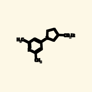 CCOC(=O)C1CCN(c2cc(C)nc(C)c2)C1